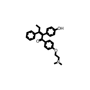 CC/C(=C(/C(=O)c1ccc(OCCN(C)C)cc1)c1ccc(O)cc1)c1ccccc1